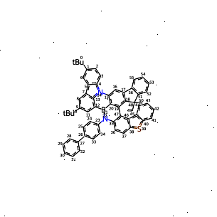 CC(C)(C)c1ccc2c(c1)c1cc(C(C)(C)C)cc3c1n2-c1cc2c(c4c1B3N(c1ccc(-c3ccccc3)cc1)c1ccc3sc5ccccc5c3c1-4)C(C)(C)c1ccccc1-2